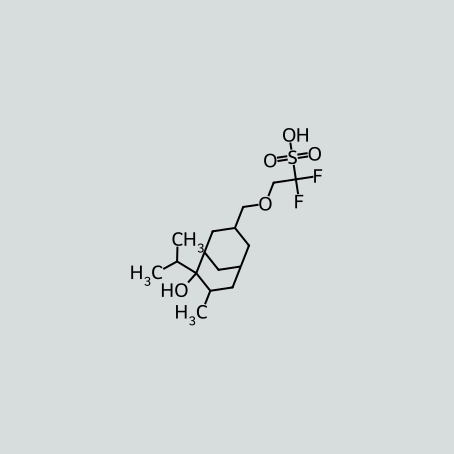 CC(C)C1(O)C(C)CC2CC(COCC(F)(F)S(=O)(=O)O)CC1C2